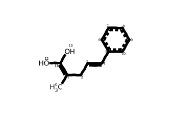 CC(CC=Cc1ccccc1)=C(O)O